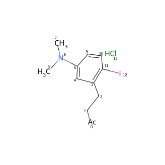 CC(=O)CCc1cc(N(C)C)ccc1I.Cl